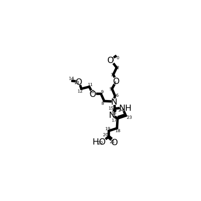 COCCOCCN(CCOCCOC)c1nc(CCC(=O)O)c[nH]1